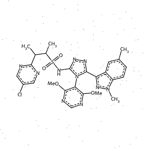 COc1ncnc(OC)c1-n1c(NS(=O)(=O)C(C)C(C)c2ncc(Cl)cn2)nnc1-c1nn(C)c2ccc(C)cc12